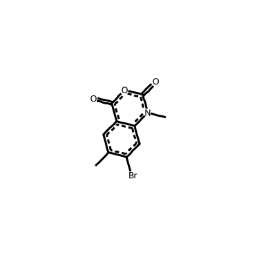 Cc1cc2c(=O)oc(=O)n(C)c2cc1Br